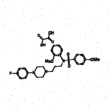 COc1ccc(S(=O)(=O)N(CCCN2CCN(c3ccc(F)cc3)CC2)c2ccccc2OC)cc1.O=C(O)C(=O)O